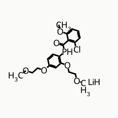 COCCOc1ccc(PC(=O)c2c(Cl)cccc2OC)c(OCCOC)c1.[LiH]